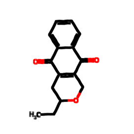 CCC1CC2=C(CO1)C(=O)c1ccccc1C2=O